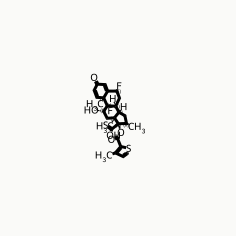 Cc1ccsc1C(=O)O[C@]1(C(O)=S)[C@H](C)C[C@H]2[C@@H]3C[C@H](F)C4=CC(=O)C=C[C@]4(C)[C@@]3(F)[C@@H](O)C[C@@]21C